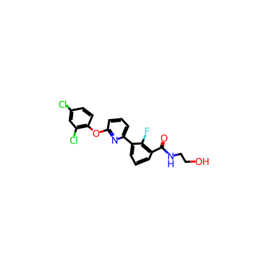 O=C(NCCO)c1cccc(-c2cccc(Oc3ccc(Cl)cc3Cl)n2)c1F